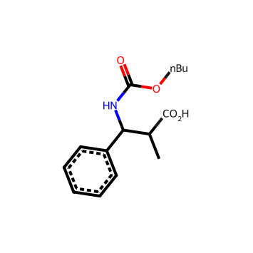 CCCCOC(=O)NC(c1ccccc1)C(C)C(=O)O